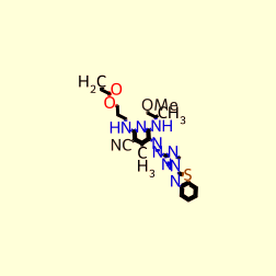 C=CC(=O)OCCCNc1nc(NC(C)COC)c(N=Nc2ncn(-c3nc4ccccc4s3)n2)c(C)c1C#N